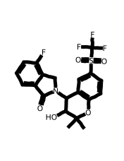 CC1(C)Oc2ccc(S(=O)(=O)C(F)(F)F)cc2C(N2Cc3c(F)cccc3C2=O)C1O